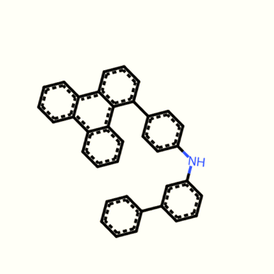 c1ccc(-c2cccc(Nc3ccc(-c4cccc5c6ccccc6c6ccccc6c45)cc3)c2)cc1